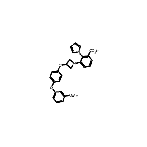 COc1cccc(Oc2ccc(OC3CN(c4cccc(C(=O)O)c4-n4cccc4)C3)cc2)c1